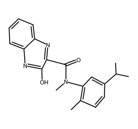 Cc1ccc(C(C)C)cc1N(C)C(=O)c1nc2ccccc2nc1O